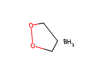 B.C1COOC1